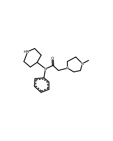 CN1CCN(CC(=O)N(c2ccccc2)C2CCNCC2)CC1